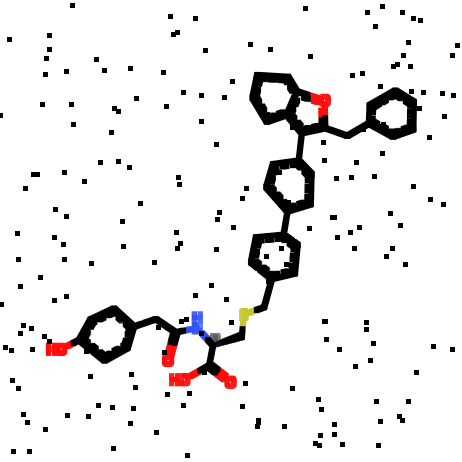 O=C(Cc1ccc(O)cc1)N[C@@H](CSCc1ccc(-c2ccc(-c3c(Cc4ccccc4)oc4ccccc34)cc2)cc1)C(=O)O